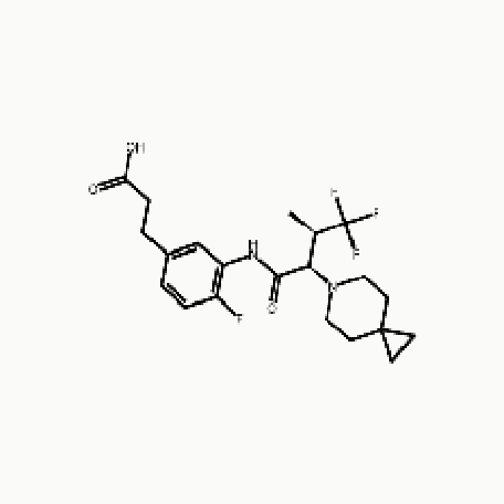 C[C@H]([C@H](C(=O)Nc1cc(CCC(=O)O)ccc1F)N1CCC2(CC1)CC2)C(F)(F)F